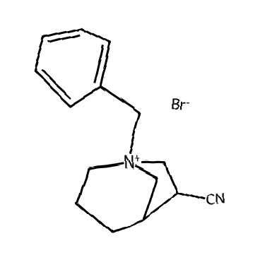 N#CC1C[N+]2(Cc3ccccc3)CCCC1C2.[Br-]